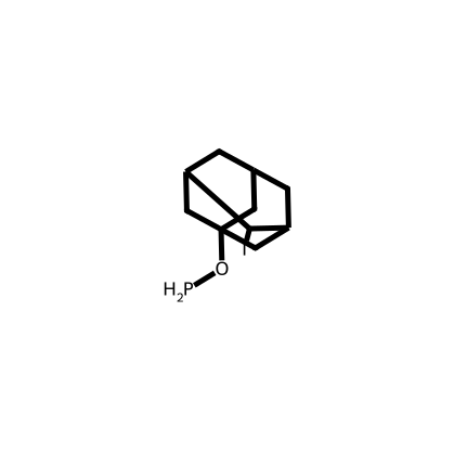 POC12CC3CC(C1)C(I)C(C3)C2